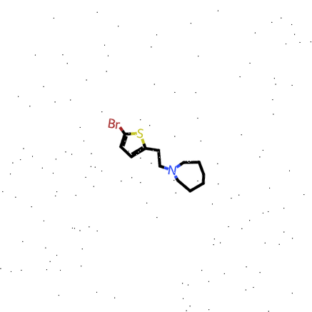 Brc1ccc(CCN2CCCCCC2)s1